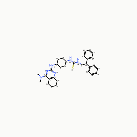 CN(C)c1nc(NC2CCC(NC(=S)NCC(c3ccccc3)c3ccccc3)CC2)nc2c1CCCC2